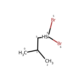 CC(C)C[SiH](Br)Br